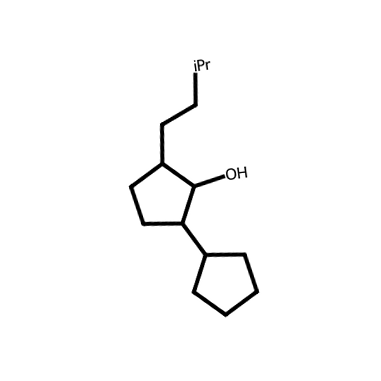 CC(C)CCC1CCC(C2CCCC2)C1O